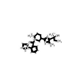 CC[C@](C)(O)c1nc(C2CC[C@@H](C)N(C(=O)c3ccccc3-n3ncnn3)C2)oc1C